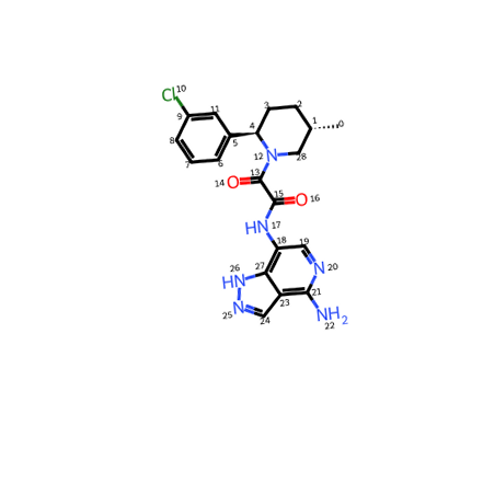 C[C@H]1CC[C@H](c2cccc(Cl)c2)N(C(=O)C(=O)Nc2cnc(N)c3cn[nH]c23)C1